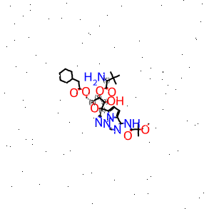 COC(C)(C)C(=O)Nc1ncnn2c([C@]3(C#N)O[C@H](COC(=O)CC4CCCCC4)[C@@H](OC(=O)[C@@H](N)C(C)(C)C)[C@H]3O)ccc12